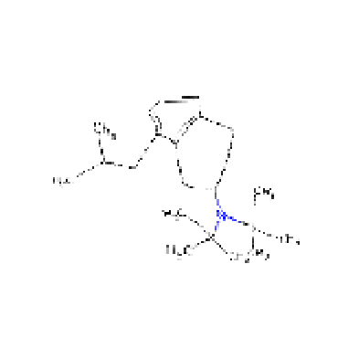 CC(C)Cc1cccc2c1CC(N(C(C)(C)C)C(C)(C)C)CC2